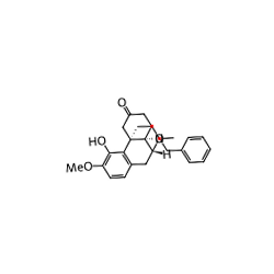 COc1ccc2c(c1O)[C@]13CCN(C)[C@H](C2)[C@]1(OCc1ccccc1)CCC(=O)C3